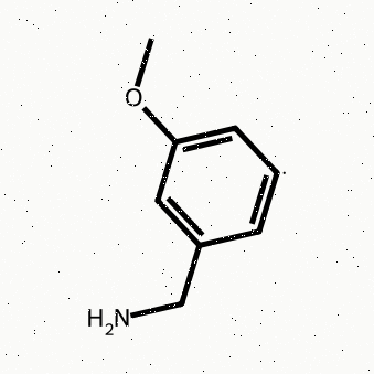 COc1c[c]cc(CN)c1